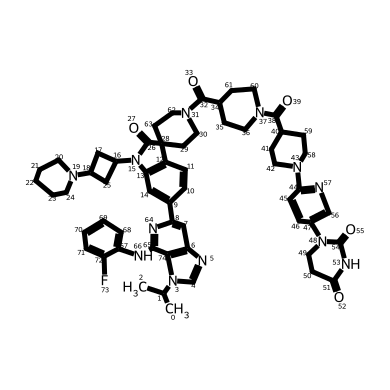 CC(C)n1cnc2cc(-c3ccc4c(c3)N(C3CC(N5CCCCC5)C3)C(=O)C43CCN(C(=O)C4CCN(C(=O)C5CCN(c6ccc(N7CCC(=O)NC7=O)cn6)CC5)CC4)CC3)nc(Nc3ccccc3F)c21